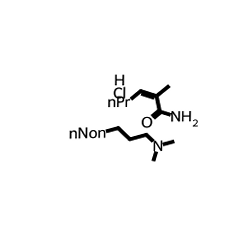 CCCC=C(C)C(N)=O.CCCCCCCCCCCCN(C)C.Cl